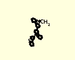 C=Cn1c2ccccc2c2cc(-c3ccc4c(c3)c3ccccc3n4-c3ccc4sc5ccccc5c4c3)ccc21